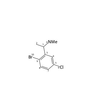 CNC(C)c1cc(Cl)ccc1Br